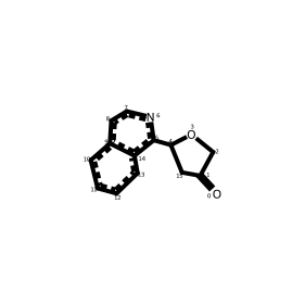 O=C1COC(c2nc[c]c3ccccc23)C1